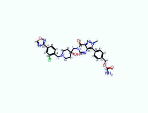 Cn1nc2c(=O)n(CC3(O)CCN(Cc4ccc(-c5ncon5)cc4Cl)CC3)cnc2c1-c1ccc(COC(N)=O)cc1